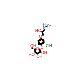 CC(C)NC[C@H](O)COc1ccc(O[C@H]2O[C@H](CO)[C@@H](O)[C@H](O)[C@H]2O)cc1.Cl